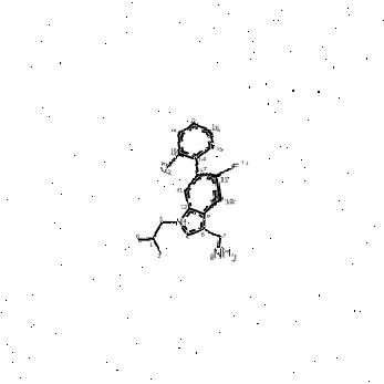 CC(C)Cn1cc(CN)c2cc(F)c(-c3ccccc3Cl)cc21